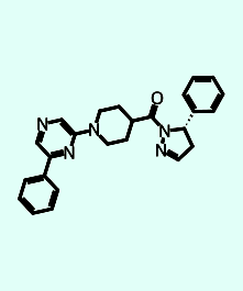 O=C(C1CCN(c2cncc(-c3ccccc3)n2)CC1)N1N=CC[C@H]1c1ccccc1